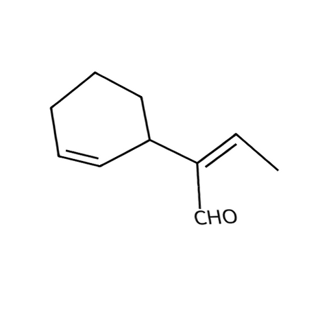 CC=C(C=O)C1C=CCCC1